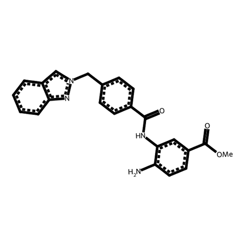 COC(=O)c1ccc(N)c(NC(=O)c2ccc(Cn3cc4ccccc4n3)cc2)c1